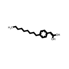 CCCCCCCCCc1ccc(C=C(O)O)cc1